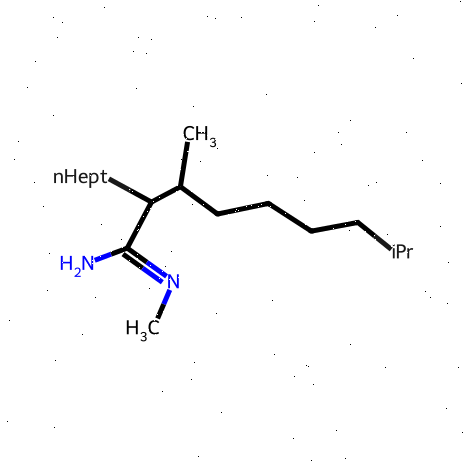 CCCCCCCC(/C(N)=N/C)C(C)CCCCC(C)C